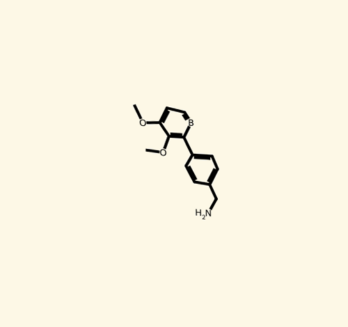 COc1ccbc(-c2ccc(CN)cc2)c1OC